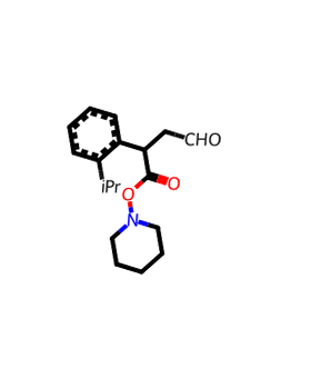 CC(C)c1ccccc1C(CC=O)C(=O)ON1CCCCC1